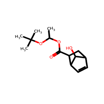 CC(OC(=O)C1CC2C=CC1C2O)OC(C)(C)C